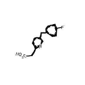 O=C(O)Cc1ccc(Cc2ccc(F)cc2)cn1